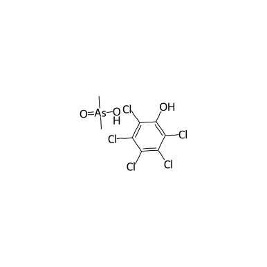 C[As](C)(=O)O.Oc1c(Cl)c(Cl)c(Cl)c(Cl)c1Cl